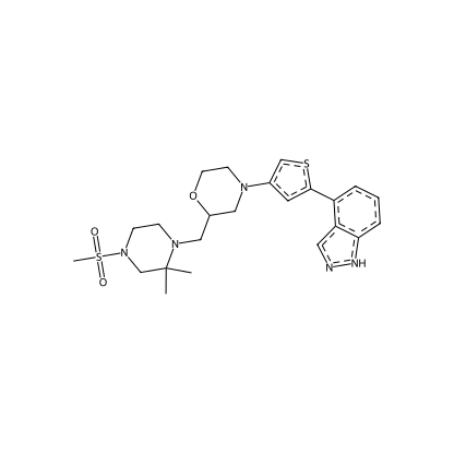 CC1(C)CN(S(C)(=O)=O)CCN1CC1CN(c2csc(-c3cccc4[nH]ncc34)c2)CCO1